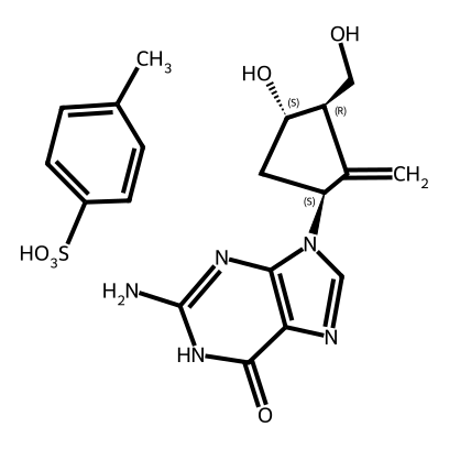 C=C1[C@H](CO)[C@@H](O)C[C@@H]1n1cnc2c(=O)[nH]c(N)nc21.Cc1ccc(S(=O)(=O)O)cc1